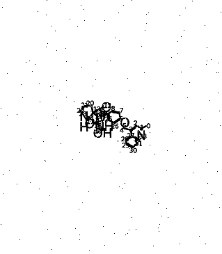 Cc1cc(COc2ccc(S(=O)(=O)CC3(CC(=O)NO)CCCNC3)cc2)c2ccccc2n1